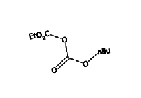 CCCCOC(=O)OC(=O)OCC